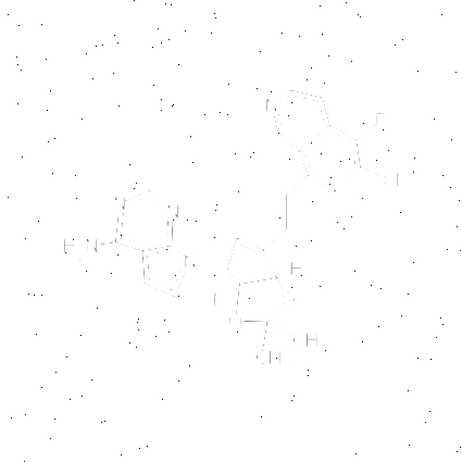 CC1(C)O[C@@H]2[C@H](O1)C(CCc1cc(Cl)c(F)c3ccncc13)=C[C@H]2n1ccc2c(N)ncnc21